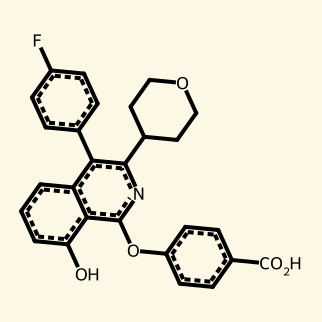 O=C(O)c1ccc(Oc2nc(C3CCOCC3)c(-c3ccc(F)cc3)c3cccc(O)c23)cc1